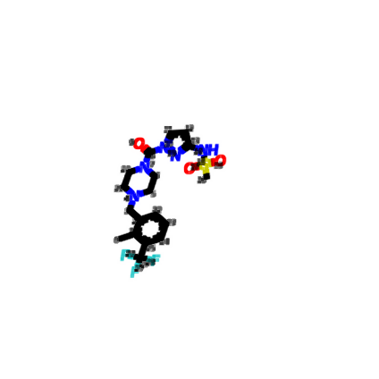 Cc1c(CN2CCN(C(=O)n3ccc(NS(C)(=O)=O)n3)CC2)cccc1C(F)(F)F